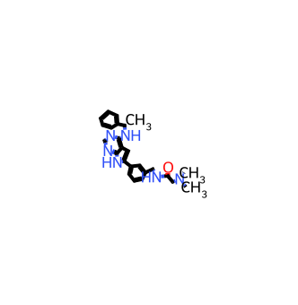 C[C@@H](Nc1ncnc2[nH]c(-c3cccc(CNC(=O)CN(C)C)c3)cc12)c1ccccc1